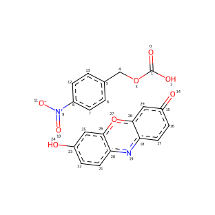 O=C(O)OCc1ccc([N+](=O)[O-])cc1.O=c1ccc2nc3ccc(O)cc3oc-2c1